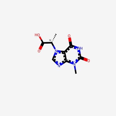 C[C@@H](C(=O)O)n1cnc2c1c(=O)[nH]c(=O)n2C